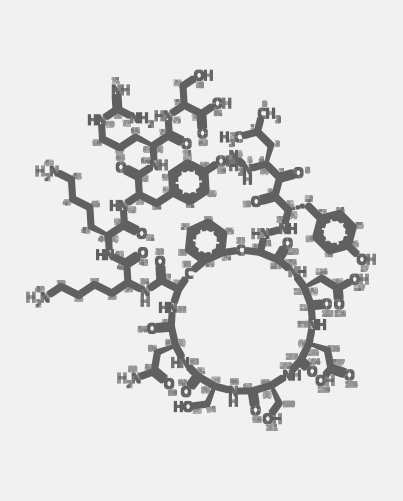 CC(C)C[C@H](NN)C(=O)C(=O)[C@H](Cc1ccc(O)cc1)NNC1Cc2ccccc2CC(C(=O)NC(CCCCN)C(=O)N[C@@H](CCCCN)C(=O)NC(Cc2ccc(O)cc2)C(=O)N[C@@H](CCCNC(=N)N)C(=O)NC(CO)C(=O)O)NC(=O)[C@H](CC(N)=O)NC(=O)[C@H](CO)NC(=O)[C@H](CO)NC(=O)[C@H](CC(=O)O)NC(=O)[C@H](CC(=O)O)NC1=O